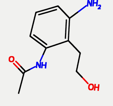 CC(=O)Nc1cccc(N)c1CCO